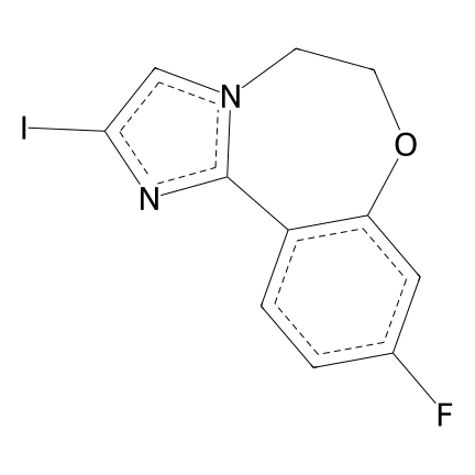 Fc1ccc2c(c1)OCCn1cc(I)nc1-2